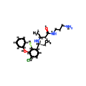 CC[C@@H](N[C@@H](C)CC(=O)NCCCN)c1ccc(Cl)c(Oc2ccccc2)c1F